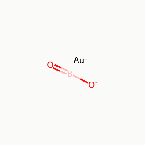 O=B[O-].[Au+]